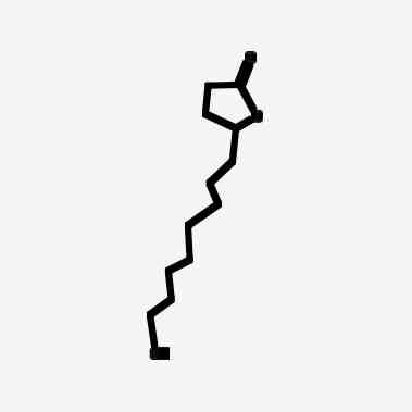 O=C1CCC(CCCCCCCCO)O1